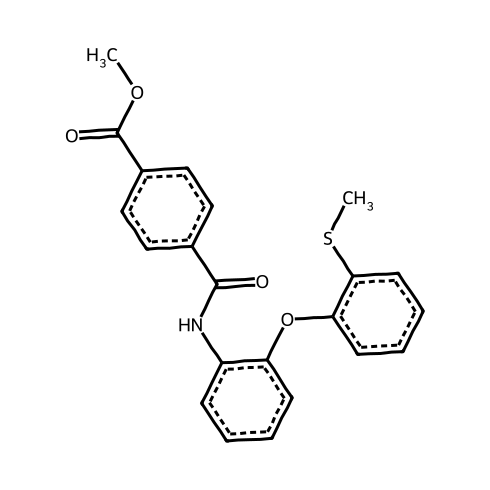 COC(=O)c1ccc(C(=O)Nc2ccccc2Oc2ccccc2SC)cc1